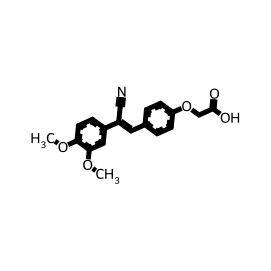 COc1ccc(C(C#N)=Cc2ccc(OCC(=O)O)cc2)cc1OC